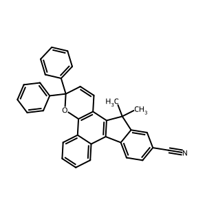 CC1(C)c2cc(C#N)ccc2-c2c1c1c(c3ccccc23)OC(c2ccccc2)(c2ccccc2)C=C1